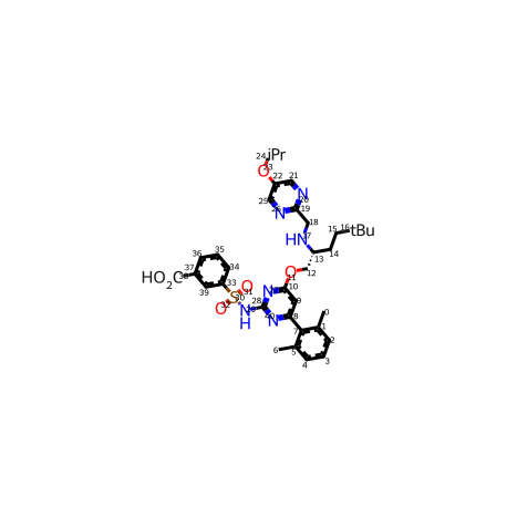 Cc1cccc(C)c1-c1cc(OC[C@@H](CCC(C)(C)C)NCc2ncc(OC(C)C)cn2)nc(NS(=O)(=O)c2cccc(C(=O)O)c2)n1